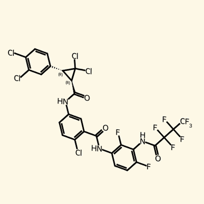 O=C(Nc1ccc(F)c(NC(=O)C(F)(F)C(F)(F)C(F)(F)F)c1F)c1cc(NC(=O)[C@H]2[C@H](c3ccc(Cl)c(Cl)c3)C2(Cl)Cl)ccc1Cl